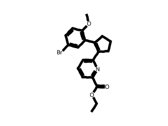 CCOC(=O)c1cccc(C2=C(c3cc(Br)ccc3OC)CCC2)n1